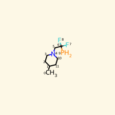 CC1CCN(CC(F)(F)P)CC1